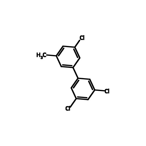 Cc1cc(Cl)cc(-c2cc(Cl)cc(Cl)c2)c1